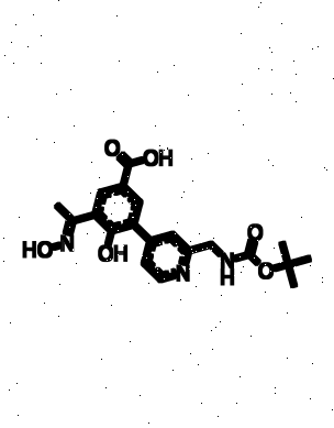 CC(=NO)c1cc(C(=O)O)cc(-c2ccnc(CNC(=O)OC(C)(C)C)c2)c1O